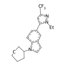 CCn1nc(C(F)(F)F)cc1-c1ccc2c(ccn2C2CCCCC2)c1